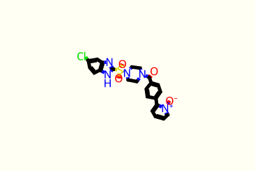 O=C(c1ccc(-c2cccc[n+]2[O-])cc1)N1CCN(S(=O)(=O)c2nc3cc(Cl)ccc3[nH]2)CC1